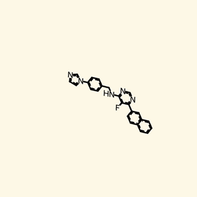 Fc1c(NCc2ccc(-n3ccnc3)cc2)ncnc1-c1ccc2ccccc2c1